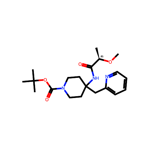 CO[C@H](C)C(=O)NC1(Cc2ccccn2)CCN(C(=O)OC(C)(C)C)CC1